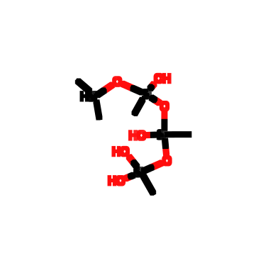 C[SiH](C)O[Si](C)(O)O[Si](C)(O)O[Si](C)(O)O